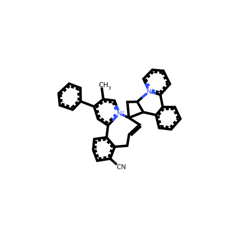 Cc1c[n+]2c(cc1-c1ccccc1)-c1cccc(C#N)c1C/C=C/C21CC2C1c1ccccc1-c1cccc[n+]12